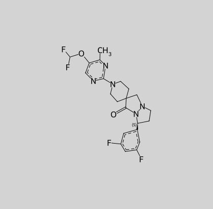 Cc1nc(N2CCC3(CC2)CN2CC[C@@H](c4cc(F)cc(F)c4)N2C3=O)ncc1OC(F)F